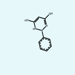 OC1=CC(O)=NN(c2ccccc2)N1